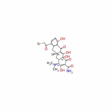 CN(C)[C@@H]1C(O)=C(C(N)=O)C(=O)[C@@]2(O)C(O)=C3C(=O)c4c(O)ccc(C(=O)CBr)c4C[C@H]3CC12